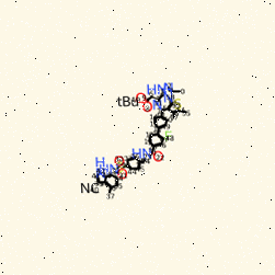 CC1=NNC2[C@H](CC(=O)OC(C)(C)C)N=C(c3ccc(-c4ccc(C(=O)NCc5ccc(S(=O)(=O)Nc6ccc(C)c7c(C#N)c[nH]c67)cc5)cc4F)cc3)c3c(sc(C)c3C)N12